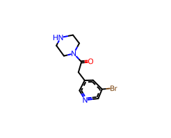 O=C(Cc1cncc(Br)c1)N1CCNCC1